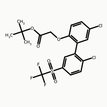 CC(C)(C)OC(=O)COc1ccc(Cl)cc1-c1cc(S(=O)(=O)C(F)(F)F)ccc1Cl